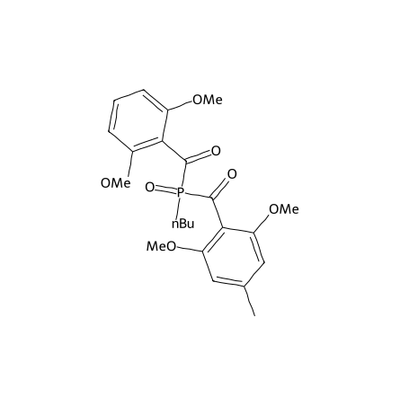 CCCCP(=O)(C(=O)c1c(OC)cccc1OC)C(=O)c1c(OC)cc(C)cc1OC